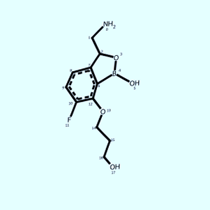 NCC1OB(O)c2c1ccc(F)c2OCCCO